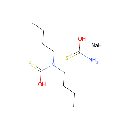 CCCCN(CCCC)C(O)=S.NC(O)=S.[NaH]